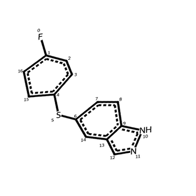 Fc1ccc(Sc2ccc3[nH]ncc3c2)cc1